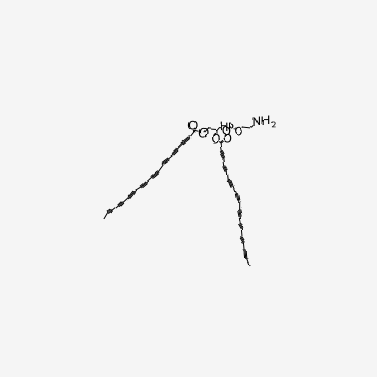 CC#CC#CC#CC#CC#CC#CC#CC#CC(=O)OCC(COPOCCN)OC(=O)C#CC#CC#CC#CC#CC#CC#CC#CC